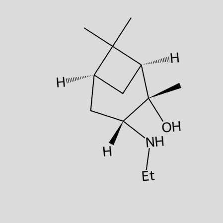 CCN[C@@H]1C[C@@H]2C[C@@H](C2(C)C)[C@]1(C)O